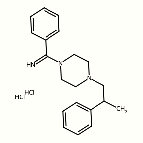 CC(CN1CCN(C(=N)c2ccccc2)CC1)c1ccccc1.Cl.Cl